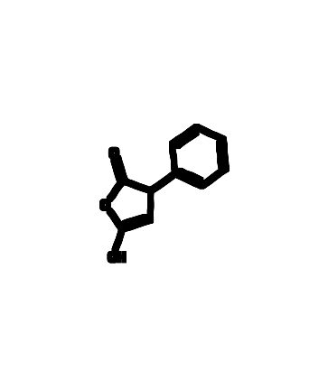 O=C1OC(O)=CC1c1ccccc1